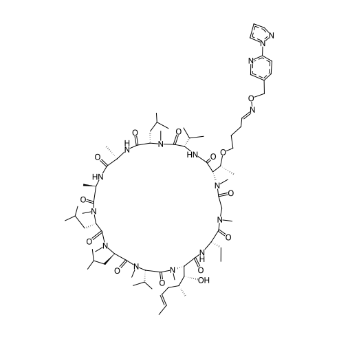 C/C=C/C[C@@H](C)[C@@H](O)[C@H]1C(=O)N[C@@H](CC)C(=O)N(C)CC(=O)N(C)[C@@H]([C@@H](C)OCCC/C=N/OCc2ccc(-n3cccn3)nc2)C(=O)N[C@@H](C(C)C)C(=O)N(C)[C@@H](CC(C)C)C(=O)N[C@@H](C)C(=O)N[C@H](C)C(=O)N(C)[C@@H](CC(C)C)C(=O)N(C)[C@H](CC(C)C)C(=O)N(C)[C@@H](C(C)C)C(=O)N1C